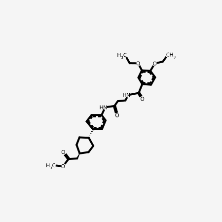 CCOc1ccc(C(=O)NCCC(=O)Nc2ccc([C@H]3CC[C@H](CC(=O)OC)CC3)cc2)cc1OCC